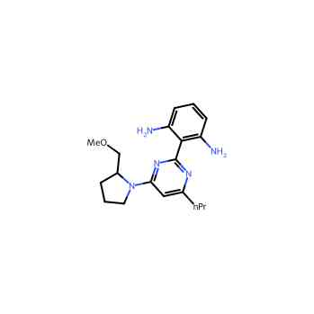 CCCc1cc(N2CCCC2COC)nc(-c2c(N)cccc2N)n1